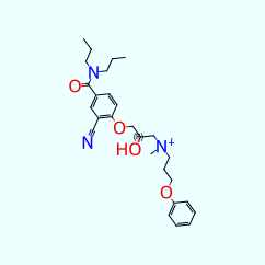 CCCN(CCC)C(=O)c1ccc(OC[C@H](O)C[N+](C)(C)CCCOc2ccccc2)c(C#N)c1